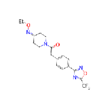 CCON=C1CCN(C(=O)Cc2ccc(-c3noc(C(F)(F)F)n3)cc2)CC1